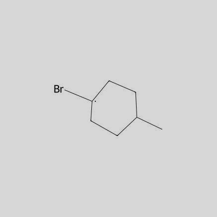 CC1CC[C](Br)CC1